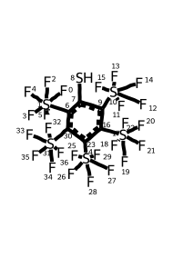 FS(F)(F)(F)(F)c1c(S)c(S(F)(F)(F)(F)F)c(S(F)(F)(F)(F)F)c(S(F)(F)(F)(F)F)c1S(F)(F)(F)(F)F